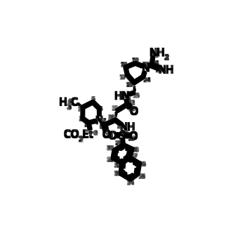 CCOC(=O)C1C[C@H](C)CCN1C(=O)[C@H](CC(=O)NC[C@@H]1CCCN(C(=N)N)C1)NS(=O)(=O)c1ccc2ccccc2c1